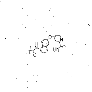 CNC(=O)c1cc(Oc2ccc3c(NC(=O)C(C)(C)C)cccc3c2)ccn1